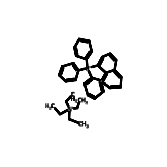 CC[N+](CC)(CC)CC.c1ccc([B-](c2ccccc2)(c2ccccc2)c2cccc3ccccc23)cc1